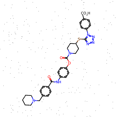 O=C(O)c1ccc(-n2nnnc2SC2CCN(C(=O)Oc3ccc(NC(=O)c4ccc(CN5CCCCC5)cc4)cc3)CC2)cc1